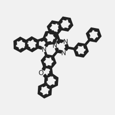 c1ccc(-c2cccc(-c3nc(-c4cc5c(cc4-n4c6ccccc6c6cc7ccccc7cc64)oc4c6ccccc6ccc54)nc(-c4cccc5ccccc45)n3)c2)cc1